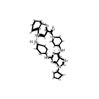 NC1CCC(Nc2nc(NC3CCN(C(=O)c4cnc5ccccc5n4)CC3)c3ncn(C4CCCC4)c3n2)CC1